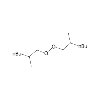 CCCCC(C)COOCC(C)CCCC